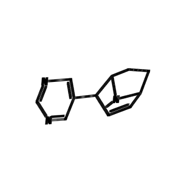 CN1C2C=CC(c3cncnc3)C1CC2